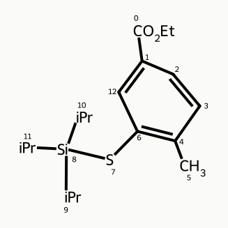 CCOC(=O)c1ccc(C)c(S[Si](C(C)C)(C(C)C)C(C)C)c1